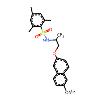 COc1ccc2cc(OCC(NS(=O)(=O)c3c(C)cc(C)cc3C)C(F)(F)F)ccc2c1